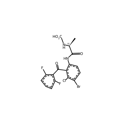 C[C@H](NC(=O)O)C(=O)Nc1ccc(Br)c(Cl)c1C(=O)c1c(F)cccc1F